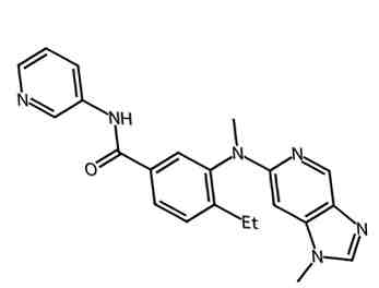 CCc1ccc(C(=O)Nc2cccnc2)cc1N(C)c1cc2c(cn1)ncn2C